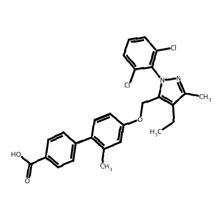 CCc1c(C)nn(-c2c(Cl)cccc2Cl)c1COc1ccc(-c2ccc(C(=O)O)cc2)c(C)c1